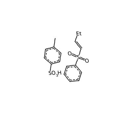 CCC=CS(=O)(=O)c1ccccc1.Cc1ccc(S(=O)(=O)O)cc1